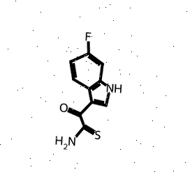 NC(=S)C(=O)c1c[nH]c2cc(F)ccc12